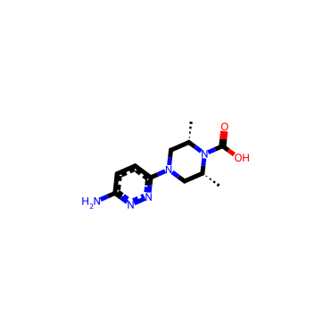 C[C@@H]1CN(c2ccc(N)nn2)C[C@H](C)N1C(=O)O